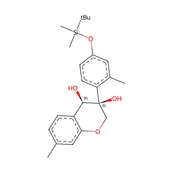 Cc1ccc2c(c1)OC[C@@](O)(c1ccc(O[Si](C)(C)C(C)(C)C)cc1C)[C@@H]2O